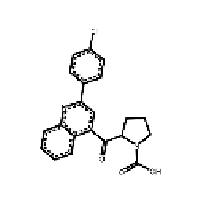 O=C(c1cc(-c2ccc(Cl)cc2)nc2ccccc12)C1CCCN1C(=O)O